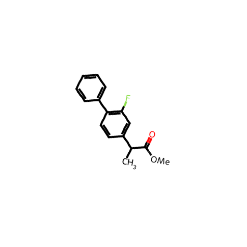 [CH2]OC(=O)C(C)c1ccc(-c2ccccc2)c(F)c1